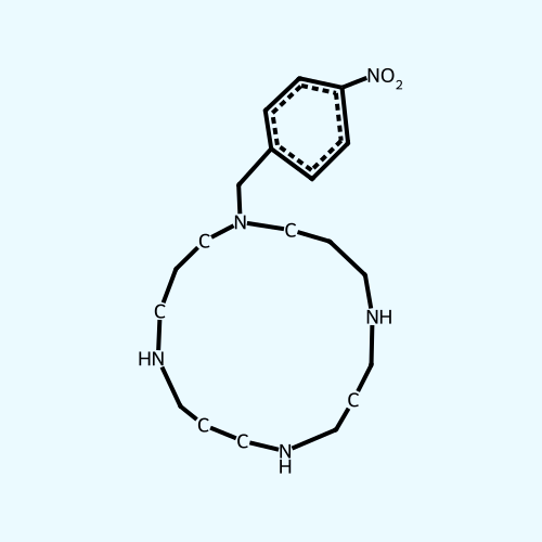 O=[N+]([O-])c1ccc(CN2CCCNCCCNCCCNCCC2)cc1